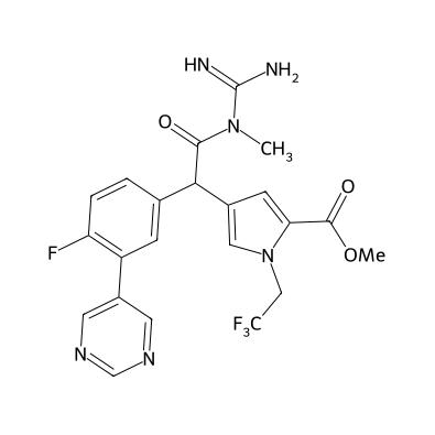 COC(=O)c1cc(C(C(=O)N(C)C(=N)N)c2ccc(F)c(-c3cncnc3)c2)cn1CC(F)(F)F